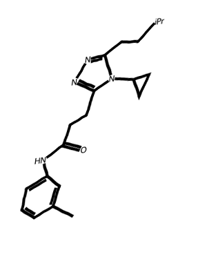 Cc1cccc(NC(=O)CCc2nnc(CCC(C)C)n2C2CC2)c1